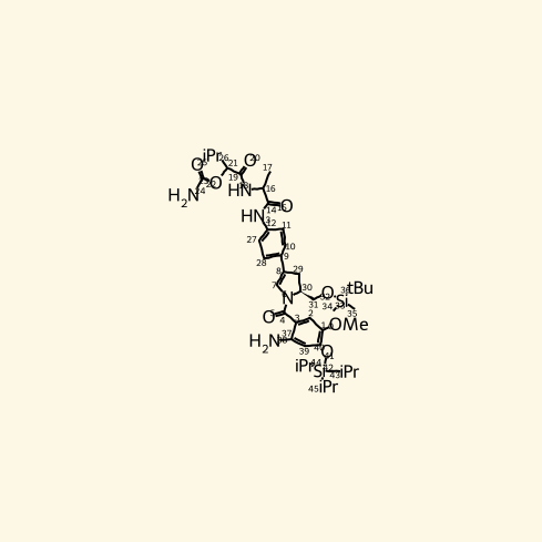 COc1cc(C(=O)N2C=C(c3ccc(NC(=O)C(C)NC(=O)C(OC(N)=O)C(C)C)cc3)C[C@H]2CO[Si](C)(C)C(C)(C)C)c(N)cc1O[Si](C(C)C)(C(C)C)C(C)C